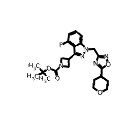 CC(C)(C)OC(=O)N1CC(c2nn(Cc3noc(C4CCOCC4)n3)c3cccc(F)c23)C1